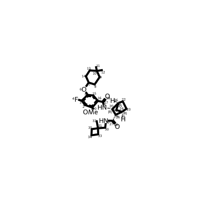 COc1cc(F)c(OC2CCC(C)(C)CC2)cc1C(=O)N[C@@H]1[C@H]2CC[C@H](C2)[C@@H]1C(=O)NCC1(C)CCC1